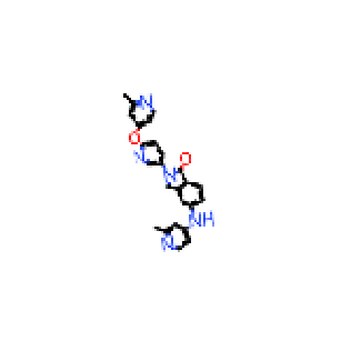 Cc1cc(Nc2ccc3c(c2)CN(c2ccc(Oc4ccnc(C)c4)nc2)C3=O)ccn1